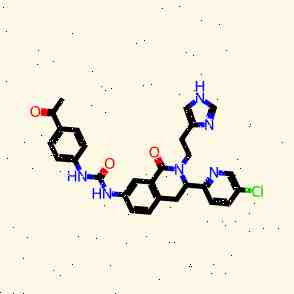 CC(=O)c1ccc(NC(=O)Nc2ccc3c(c2)C(=O)N(CCc2c[nH]cn2)C(c2ccc(Cl)cn2)C3)cc1